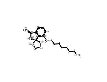 CCCCCCCCOc1cccc2c1C1(NC2=N)OCCO1